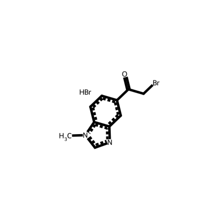 Br.Cn1cnc2cc(C(=O)CBr)ccc21